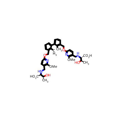 COc1nc(OCc2cccc(-c3cccc(COc4ccc(CN[C@H](C(=O)O)[C@@H](C)O)c(OC)n4)c3C)c2C)ccc1CN[C@H](C(=O)O)[C@@H](C)O